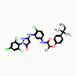 CCC(Oc1ccc(C(C)(C)CC(C)(C)C)cc1)C(=O)Nc1ccc(Cl)c(Nc2cc(=O)n(-c3c(Cl)cc(Cl)cc3Cl)[nH]2)c1